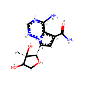 C[C@@]1(O)C(O)CO[C@H]1c1cc(C(N)=O)c2c(N)ncnn12